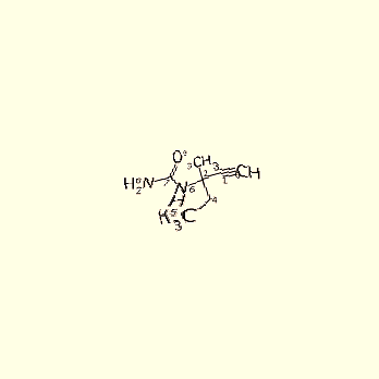 C#CC(C)(CC)NC(N)=O